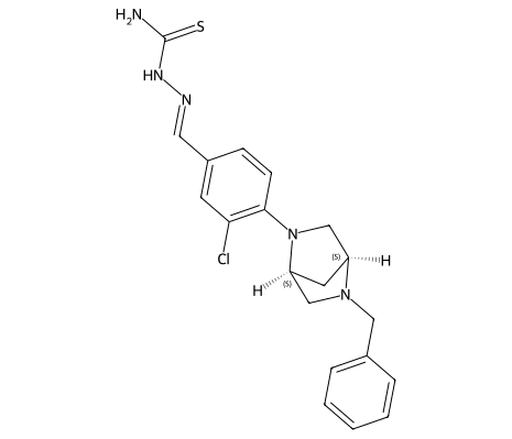 NC(=S)NN=Cc1ccc(N2C[C@@H]3C[C@H]2CN3Cc2ccccc2)c(Cl)c1